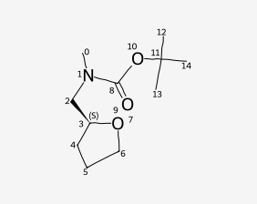 CN(C[C@@H]1CCCO1)C(=O)OC(C)(C)C